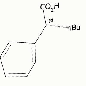 CCC(C)[C@@H](C(=O)O)c1ccccc1